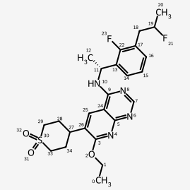 CCOc1nc2ncnc(N[C@H](C)c3cccc(CC(C)F)c3F)c2cc1C1CCS(=O)(=O)CC1